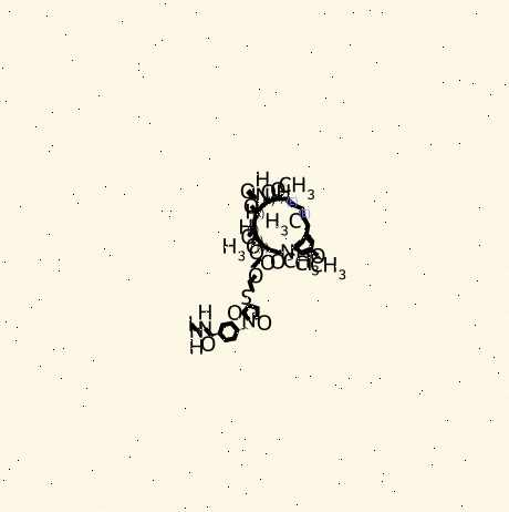 COc1cc2cc(c1Cl)N(C)C(=O)C[C@H](OC(=O)COCCSC1CC(=O)N(C[C@H]3CC[C@H](C(=O)NNI)CC3)C1=O)[C@]1(C)O[C@H]1C[C@@H]1C[C@@](O)(NC(=O)O1)[C@H](OC)/C=C/C=C(\C)C2